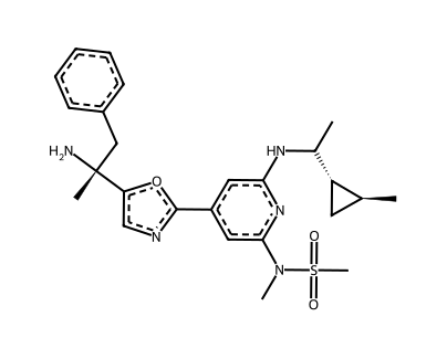 CC(Nc1cc(-c2ncc([C@](C)(N)Cc3ccccc3)o2)cc(N(C)S(C)(=O)=O)n1)[C@H]1C[C@@H]1C